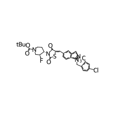 CC(C)(C)OC(=O)N1CC[C@H](N2C(=O)S/C(=C\c3ccc4c(cnn4Cc4ccc(Cl)cc4C(F)(F)F)c3)C2=O)[C@@H](F)C1